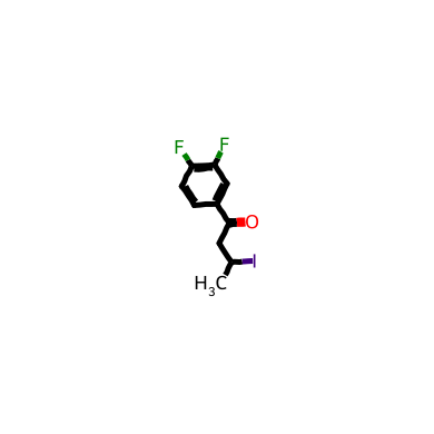 CC(I)CC(=O)c1ccc(F)c(F)c1